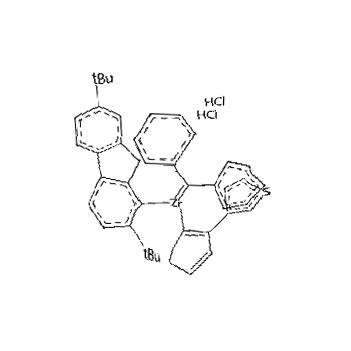 CC(C)(C)c1ccc2c(c1)Cc1c-2ccc(C(C)(C)C)[c]1[Zr]([C]1=C(c2ccsc2)C=CC1)=[C](c1ccccc1)c1ccccc1.Cl.Cl